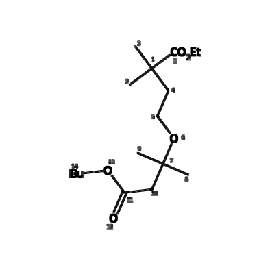 CCOC(=O)C(C)(C)CCOC(C)(C)CC(=O)OC(C)CC